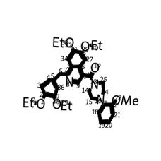 CCOc1ccc(Cc2ncc(C(=O)N3CCN(c4ccccc4OC)CC3)c3cc(OCC)c(OCC)cc23)cc1OCC